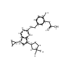 O=C(O)Cc1cc(CSc2ncc3c(n2)c(C2CCC(F)(F)C2)cn3C2CC2)ccc1F